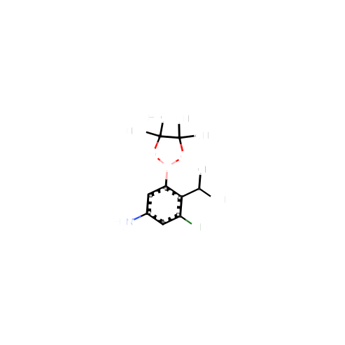 CC(C)c1c(Cl)cc(N)cc1B1OC(C)(C)C(C)(C)O1